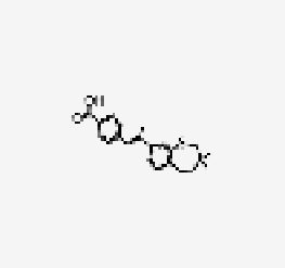 CC(=Cc1ccc(C(=O)O)cc1)c1ccc2c(c1)SCC(C)(C)CC2